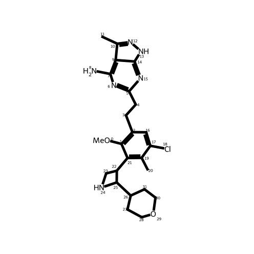 COc1c(CCc2nc(N)c3c(C)n[nH]c3n2)cc(Cl)c(C)c1C1CNC1C1CCOCC1